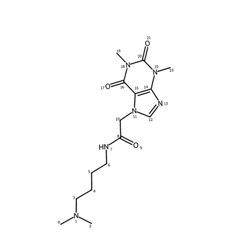 CN(C)CCCCNC(=O)Cn1cnc2c1c(=O)n(C)c(=O)n2C